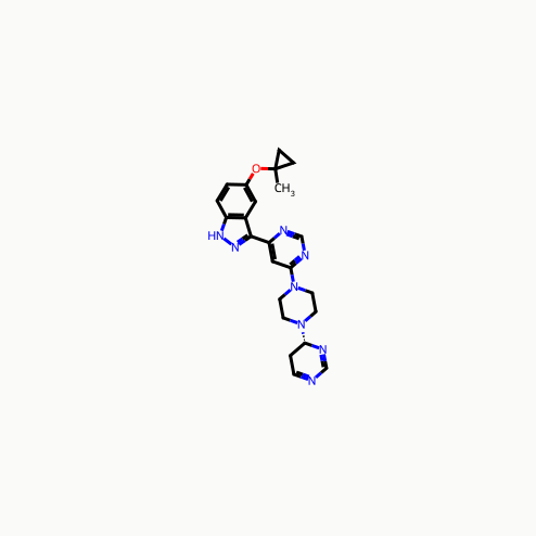 CC1(Oc2ccc3[nH]nc(-c4cc(N5CCN([C@H]6CC=NC=N6)CC5)ncn4)c3c2)CC1